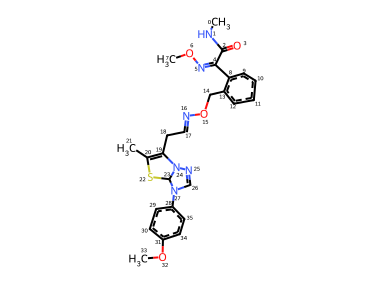 CNC(=O)C(=NOC)c1ccccc1CON=CCC1=C(C)SC2N1N=CN2c1ccc(OC)cc1